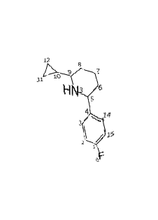 Fc1ccc(C2C[CH]CC(C3CC3)N2)cc1